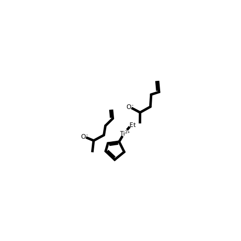 C=CCCC(C)[O-].C=CCCC(C)[O-].C[CH2][Ti+2][C]1=CC=CC1